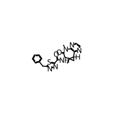 CN1C(=O)[C@@H](NC(=O)c2nnc(Cc3ccccc3)s2)C2(C)C[C@H]2c2nccnc21